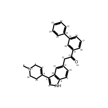 CN1CC=C(c2c[nH]c3ccc(CC(=O)c4cccc(-c5ccccc5)c4)cc23)CC1